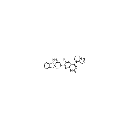 Nc1nc(N2CCC3(CC2)Cc2ccccc2[C@H]3N)c(F)nc1C(=O)N1CCCn2nccc21